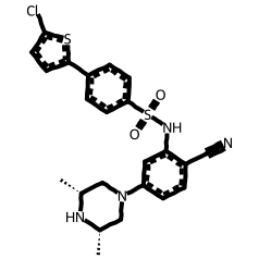 C[C@@H]1CN(c2ccc(C#N)c(NS(=O)(=O)c3ccc(-c4ccc(Cl)s4)cc3)c2)C[C@H](C)N1